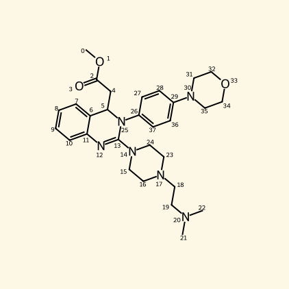 COC(=O)CC1c2ccccc2N=C(N2CCN(CCN(C)C)CC2)N1c1ccc(N2CCOCC2)cc1